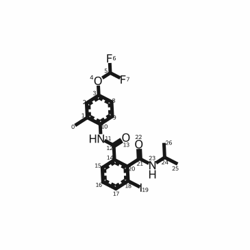 Cc1cc(OC(F)F)ccc1NC(=O)c1cccc(I)c1C(=O)NC(C)C